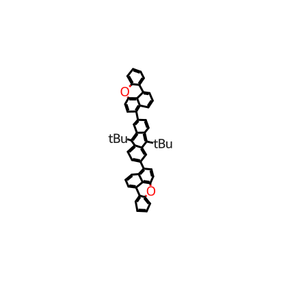 CC(C)(C)c1c2ccc(-c3ccc4c5c(cccc35)-c3ccccc3O4)cc2c(C(C)(C)C)c2ccc(-c3ccc4c5c(cccc35)-c3ccccc3O4)cc12